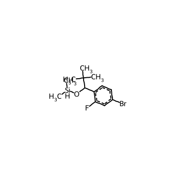 C[SiH](C)OC(c1ccc(Br)cc1F)C(C)(C)C